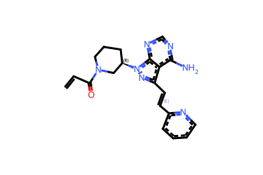 C=CC(=O)N1CCC[C@@H](n2nc(/C=C/c3ccccn3)c3c(N)ncnc32)C1